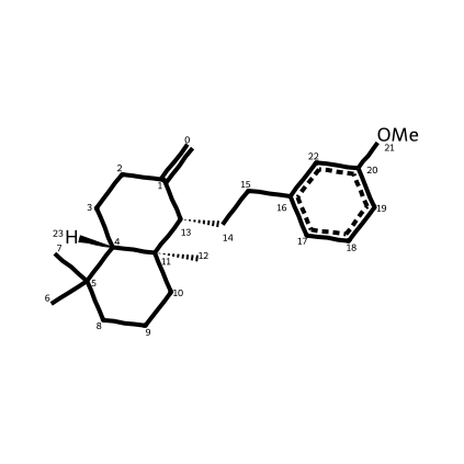 C=C1CC[C@H]2C(C)(C)CCC[C@]2(C)[C@H]1CCc1cccc(OC)c1